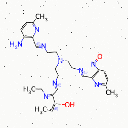 C/C=C(/O)C(/C=N/CCN(CC/N=C/c1nc(C)ccc1N)CC/N=C/c1nc(C)ccc1N=O)=NCC